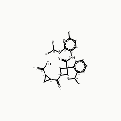 Cc1ccc(NC(=O)C2(c3ccccc3C(C)C)CN(C(=O)[C@H]3C[C@H]3C(=O)O)C2)c(OC(F)F)n1